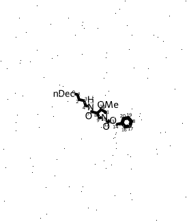 CCCCCCCCCCCCCCNC(=O)C1CN(C(=O)OCc2ccccc2)CC1OC